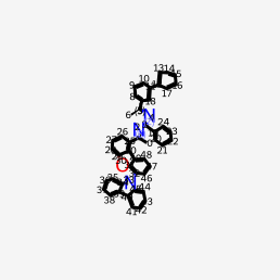 C/C(=N\C(=N/[C@@H](C)c1cccc(-c2ccccc2)c1)c1ccccc1)c1cccc2oc3c(-n4c5ccccc5c5ccccc54)cccc3c12